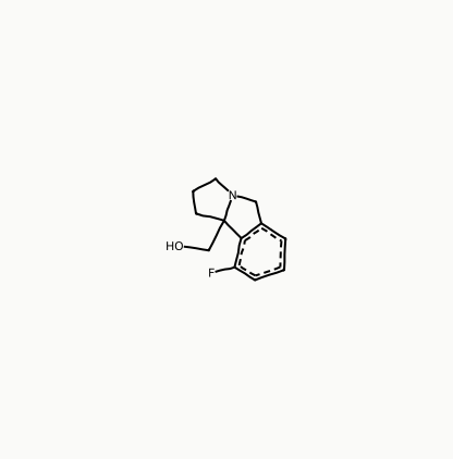 OCC12CCCN1Cc1cccc(F)c12